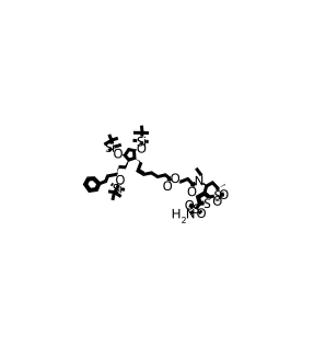 CCN(C(=O)CCOC(=O)CCC/C=C\C[C@@H]1[C@@H](CC[C@@H](CCc2ccccc2)O[Si](C)(C)C(C)(C)C)[C@H](O[Si](C)(C)C(C)(C)C)C[C@@H]1O[Si](C)(C)C(C)(C)C)[C@H]1C[C@H](C)S(=O)(=O)c2sc(S(N)(=O)=O)cc21